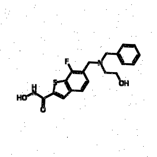 O=C(NO)c1cc2ccc(CN(CCO)Cc3ccccc3)c(F)c2s1